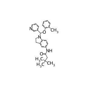 Cc1ccccc1OC(c1cccnc1)N1CCc2cc(NC(=O)CC(C)(C)C)ccc21